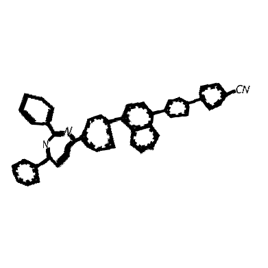 N#Cc1ccc(-c2ccc(-c3ccc(-c4ccc(C5=C=CC(c6ccccc6)=NC(C6=CCCC=C6)=N5)cc4)c4ccccc34)cc2)cc1